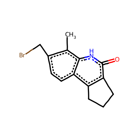 Cc1c(CBr)ccc2c3c(c(=O)[nH]c12)CCC3